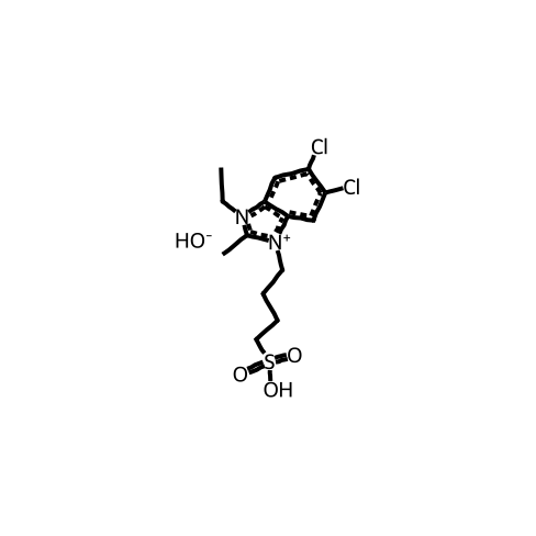 CCn1c(C)[n+](CCCCS(=O)(=O)O)c2cc(Cl)c(Cl)cc21.[OH-]